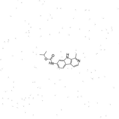 Cc1nccc2c1[nH]c1cc(NC(=O)OC(C)C)ccc12